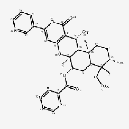 CC(=O)OCC1(C)C2C[C@H](OC(=O)c3cnccn3)[C@@]3(C)Oc4cc(-c5cccnc5)oc(=O)c4[C@H](O)C3[C@@]2(C)CC[C@@H]1C